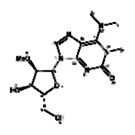 CO[C@@H]1[C@H](O)[C@@H](CO)O[C@H]1n1cnc2c(N(C)C)n(C)c(=O)nc21